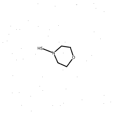 SN1CCOCC1